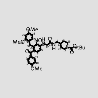 COc1ccc(C(=O)c2ccc(NCC(=O)NCC3CCN(C(=O)OC(C)(C)C)CC3)c([N+](=O)[O-])c2Cc2ccc(OC)cc2OC)cc1